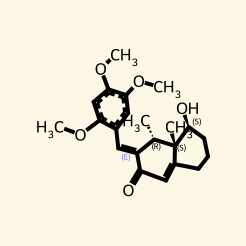 COc1cc(OC)c(OC)cc1/C=C1/C(=O)C=C2CCC[C@H](O)[C@@]2(C)[C@H]1C